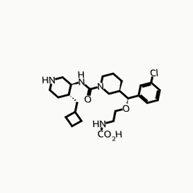 O=C(O)NCCO[C@@H](c1cccc(Cl)c1)[C@@H]1CCCN(C(=O)N[C@@H]2CNCC[C@H]2CC2CCC2)C1